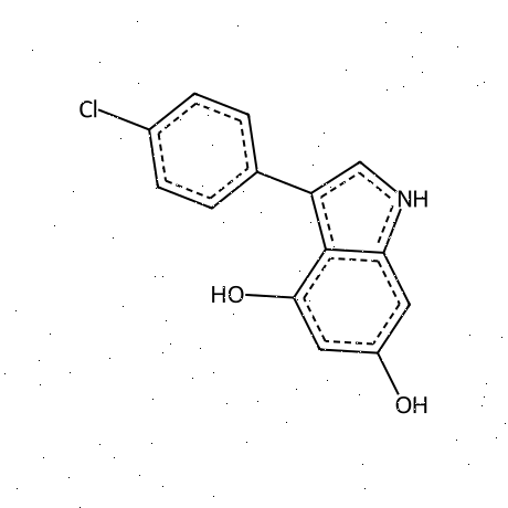 Oc1cc(O)c2c(-c3ccc(Cl)cc3)c[nH]c2c1